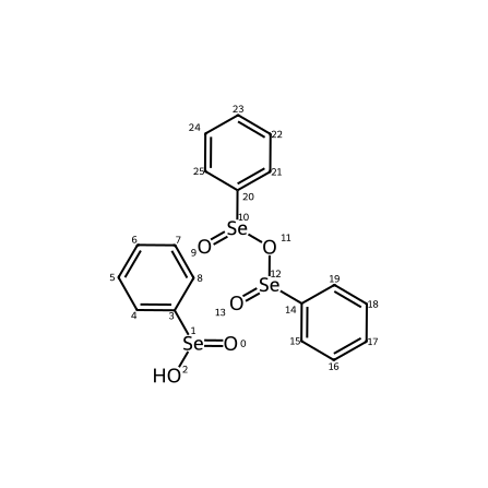 O=[Se](O)c1ccccc1.O=[Se](O[Se](=O)c1ccccc1)c1ccccc1